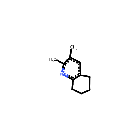 Cc1cc2c(nc1C)CCCC2